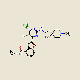 CN1CCC(C)(CCNc2ncc(Br)c(-c3cc4c(C(=O)NC5CC5)cccc4s3)n2)CC1.Cl.Cl